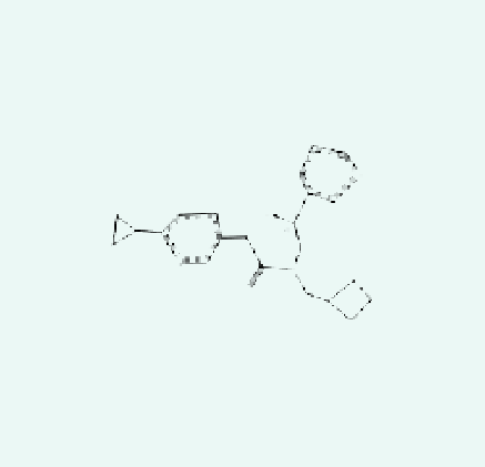 O=C(Cc1ccc(C2CC2)nc1)N(CC1CCC1)C[C@@H](O)c1cccnc1